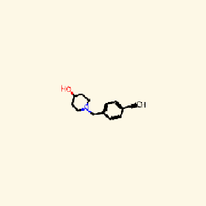 C#Cc1ccc(CN2CCC(O)CC2)cc1